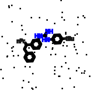 CCCC(Cc1ccccc1)c1cccc(NC(=N)Nc2ccc(C(C)(C)C)cc2)c1